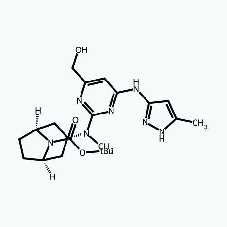 Cc1cc(Nc2cc(CO)nc(N(C)[C@@H]3C[C@H]4CC[C@@H](C3)N4C(=O)OC(C)(C)C)n2)n[nH]1